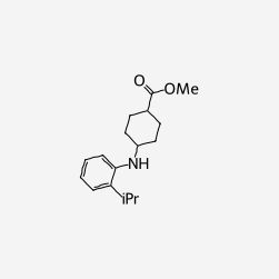 COC(=O)C1CCC(Nc2ccccc2C(C)C)CC1